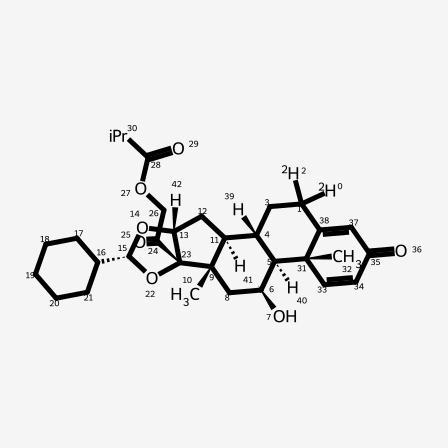 [2H]C1([2H])C[C@@H]2[C@H]([C@@H](O)C[C@@]3(C)[C@H]2C[C@H]2O[C@@H](C4CCCCC4)O[C@]23C(=O)COC(=O)C(C)C)[C@@]2(C)C=CC(=O)C=C12